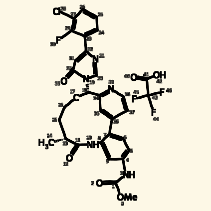 COC(=O)Nc1ccc2c(c1)NC(=O)[C@H](C)CCC[C@H](n1cnc(-c3cccc(Cl)c3F)cc1=O)c1cc-2ccn1.O=C(O)C(F)(F)F